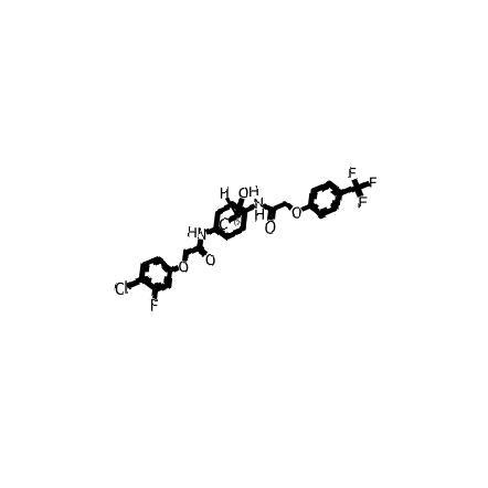 O=C(COc1ccc(Cl)c(F)c1)NC12CCC(NC(=O)COc3ccc(C(F)(F)F)cc3)(CC1)[C@@H](O)C2